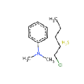 CCCCCCl.CN(C)c1ccccc1.S